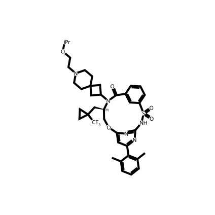 Cc1cccc(C)c1-c1cc2nc(n1)NS(=O)(=O)c1cccc(c1)C(=O)N(C1CC3(CCN(CCOC(C)C)CC3)C1)[C@H](CC1(C(F)(F)F)CC1)CO2